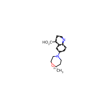 C[C@H]1CCN(c2ccc3nccc(C(=O)O)c3c2)CCO1